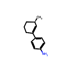 C[C@H]1C=C(c2ccc(N)cc2)CCC1